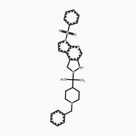 CC(=O)OC(C)(C1CCN(Cc2ccccc2)CC1)N1Cc2c(cnc3c2ccn3S(=O)(=O)c2ccccc2)N1